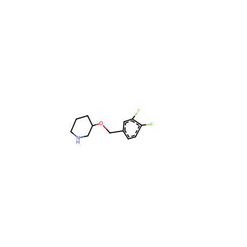 Fc1ccc(COC2CCCNC2)cc1F